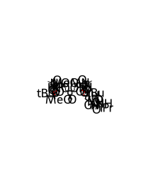 C=CCOC(=O)N[C@H](C(=O)N[C@@H](C)C(=O)Nc1ccc(COC(=O)N2c3cc(OCc4cc(COc5cc6c(cc5OC)C(=O)N5C=C(C)C[C@H]5[C@H](O[Si](C)(C)C(C)(C)C)N6C(=O)OCC=C)cc(C(=O)OC)c4)c(OC)cc3C(=O)N3C=C(C)C[C@H]3[C@@H]2O[Si](C)(C)C(C)(C)C)cc1)C(C)C